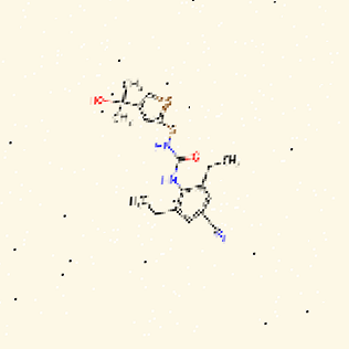 CCc1cc(C#N)cc(CC)c1NC(=O)NSc1cc(C(C)(C)O)cs1